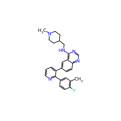 Cc1cc(-c2ncccc2-c2ccc3ncnc(NCC4CCN(C)CC4)c3c2)ccc1F